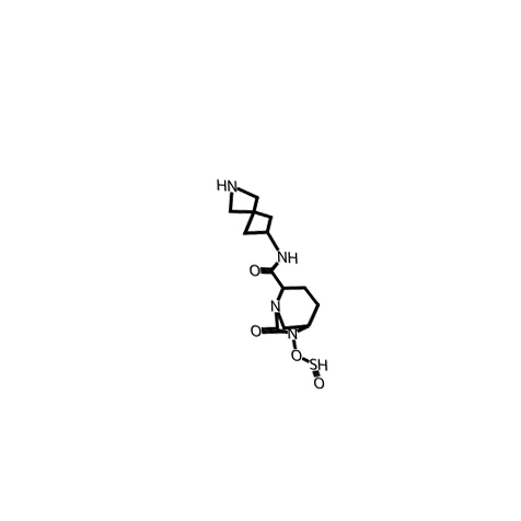 O=[SH]ON1C(=O)N2CC1CCC2C(=O)NC1CC2(CNC2)C1